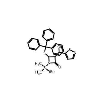 CC(C)(C)[Si](C)(C)N1C(=O)C(C(O)c2ccns2)C1SC(c1ccccc1)(c1ccccc1)c1ccccc1